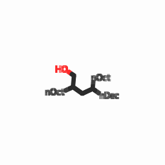 CCCCCCCCCCC(CCCCCCCC)CC(CO)CCCCCCCC